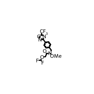 CON(Cc1ccc(-c2noc(C(F)(F)F)n2)cc1)C(=O)COC(F)F